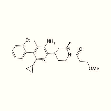 CCc1ccccc1-c1c(C2CC2)nc(N2CCN(C(=O)CCOC)[C@H](C)C2)c(N)c1C